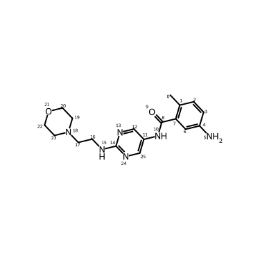 Cc1ccc(N)cc1C(=O)Nc1cnc(NCCN2CCOCC2)nc1